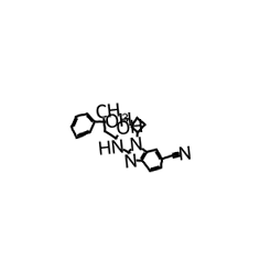 CC(O)(CC(O)Nc1nc2ccc(C#N)cc2n1C1CCC1)c1ccccc1